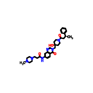 C[C@H](CC(=O)N1CCC(O)(Cn2cnc3cc(NC(=O)CCN4CCN(C)CC4)ccc3c2=O)CC1)c1ccccc1